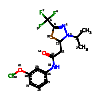 CC(C)N1N=C(C(F)(F)F)SC1CC(=O)Nc1cccc(OCl)c1